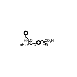 CCCCCCN(CCOc1ccc(CC(OCC)C(=O)O)cc1)C(=O)NCCc1ccccc1